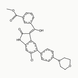 COC(=O)c1cccc(/C(O)=C2\C(=O)Nc3cc(Cl)c(-c4ccc(N5CCOCC5)cc4)cc32)c1